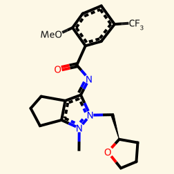 COc1ccc(C(F)(F)F)cc1C(=O)/N=c1\c2c(n(C)n1C[C@H]1CCCO1)CCC2